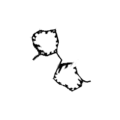 Cc1cccc(-c2ccccc2Br)n1